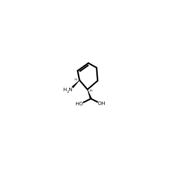 N[C@H]1C=CCC[C@H]1C(O)O